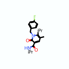 Cc1cc(C(=O)NC(C)C)c(=O)n(Cc2ccc(F)cc2)c1C(C)C